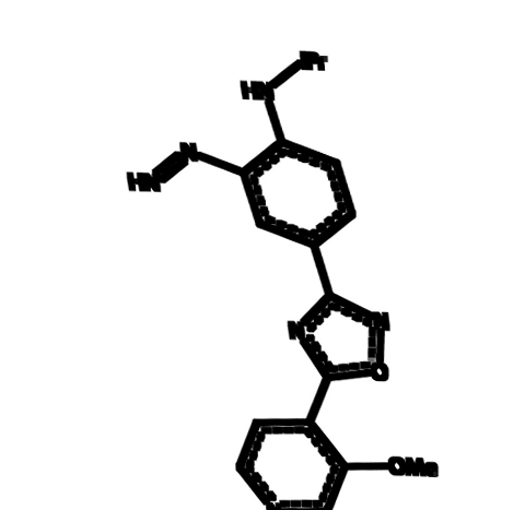 COc1cnccc1-c1nc(-c2ccc(NC(C)C)c(N=N)c2)no1